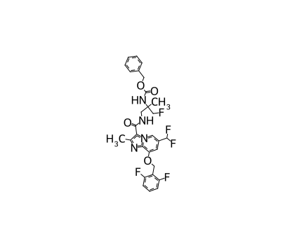 Cc1nc2c(OCc3c(F)cccc3F)cc(C(F)F)cn2c1C(=O)NCC(C)(CF)NC(=O)OCc1ccccc1